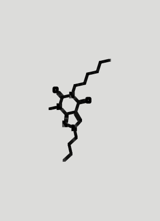 CCCCCCn1c(=O)c2cn(CCCC)nc2n(C)c1=O